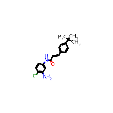 CC(C)(C)c1ccc(C=CC(=O)Nc2ccc(Cl)c(N)c2)cc1